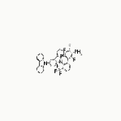 Fc1c(F)c(P)c(F)c(-c2cccc(C(F)(F)F)c2-n2c3ccccc3c3cc(-n4c5ccccc5c5ccccc54)ccc32)c1F